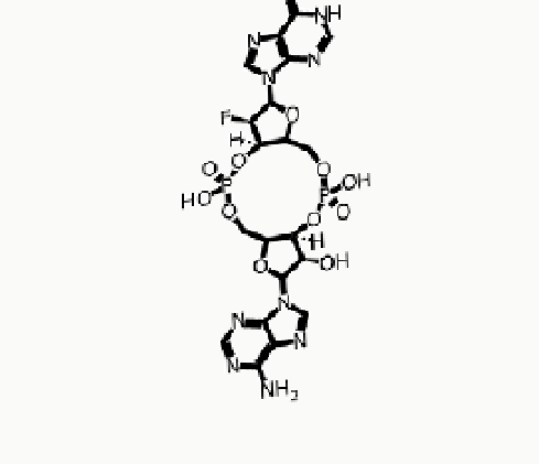 Nc1ncnc2c1ncn2C1OC2COP(=O)(O)O[C@@H]3C(COP(=O)(O)O[C@H]2[C@H]1O)OC(n1cnc2c(=O)[nH]cnc21)[C@@H]3F